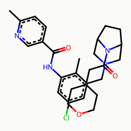 Cc1ccc(C(=O)Nc2cc(Cl)cc(CN3CC4CCC(C3)N4C(=O)CC3CCOCC3)c2C)cn1